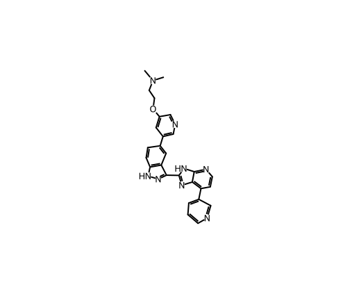 CN(C)CCOc1cncc(-c2ccc3[nH]nc(-c4nc5c(-c6cccnc6)ccnc5[nH]4)c3c2)c1